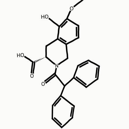 COc1ccc2c(c1O)C[C@@H](C(=O)O)N(C(=O)C(c1ccccc1)c1ccccc1)C2